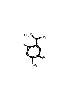 C=C(C)c1cc(C(C)C)c(OC)cc1F